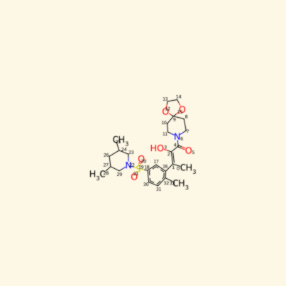 C/C(=C(/O)C(=O)N1CCC2(CC1)OCCO2)c1cc(S(=O)(=O)N2CC(C)CC(C)C2)ccc1C